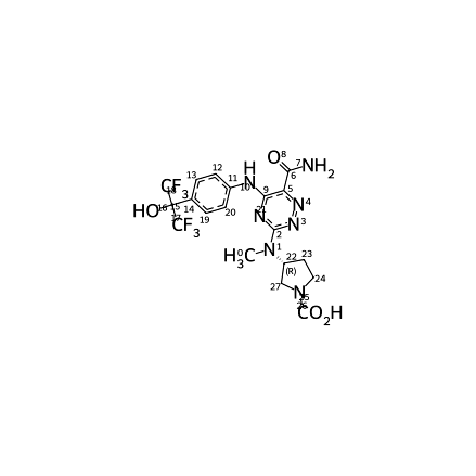 CN(c1nnc(C(N)=O)c(Nc2ccc(C(O)(C(F)(F)F)C(F)(F)F)cc2)n1)[C@@H]1CCN(C(=O)O)C1